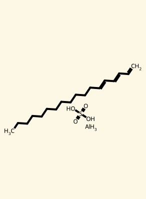 C=CC=CC=CCCCCCCCCCCCC.O=S(=O)(O)O.[AlH3]